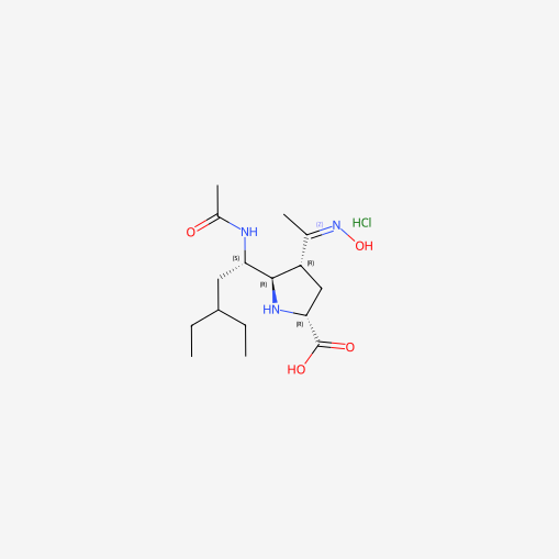 CCC(CC)C[C@H](NC(C)=O)[C@@H]1N[C@@H](C(=O)O)C[C@H]1/C(C)=N\O.Cl